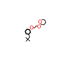 CC(C)(C)Cc1cccc(OCCOC2CCCCO2)c1